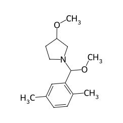 COC1CCN(C(OC)c2cc(C)ccc2C)C1